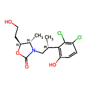 C[C@@H](CN1C(=O)O[C@@H](CCO)[C@@H]1C)c1c(O)ccc(Cl)c1Cl